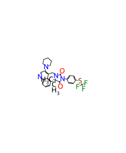 CC1(C)C(=O)N(c2ccc(SC(F)(F)F)cc2)C(=O)N1Cc1c(N2CCCCC2)cnc2ccccc12